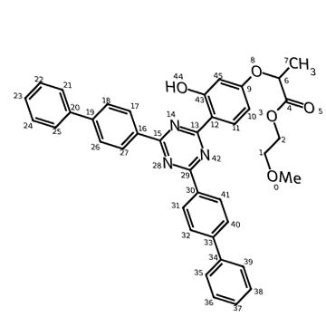 COCCOC(=O)C(C)Oc1ccc(-c2nc(-c3ccc(-c4ccccc4)cc3)nc(-c3ccc(-c4ccccc4)cc3)n2)c(O)c1